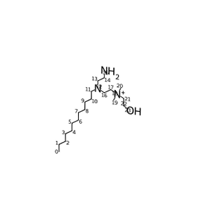 CCCCCCCCCCCCN(CCN)CC[N+](C)(C)CCO